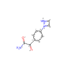 NC(=O)C(=O)c1ccc(-n2cc[nH]2)cc1